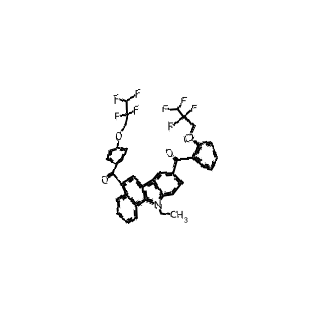 CCn1c2ccc(C(=O)c3ccccc3OCC(F)(F)C(F)F)cc2c2cc(C(=O)c3ccc(OCC(F)(F)C(F)F)cc3)c3ccccc3c21